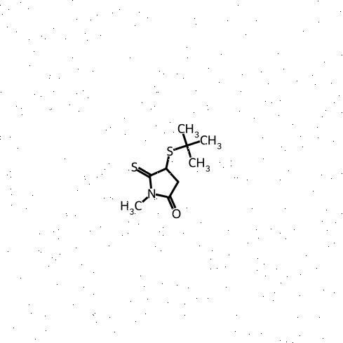 CN1C(=O)CC(SC(C)(C)C)C1=S